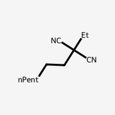 CCCCCCCC(C#N)(C#N)CC